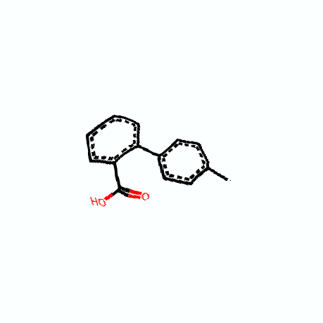 [CH2]c1ccc(-c2ccccc2C(=O)O)cc1